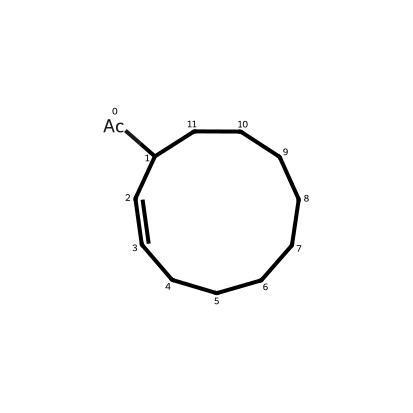 CC(=O)C1C=CCCCCCCCC1